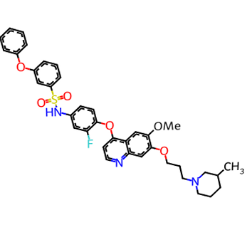 COc1cc2c(Oc3ccc(NS(=O)(=O)c4cccc(Oc5ccccc5)c4)cc3F)ccnc2cc1OCCCN1CCCC(C)C1